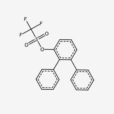 O=S(=O)(Oc1cccc(-c2ccccc2)c1-c1ccccc1)C(F)(F)F